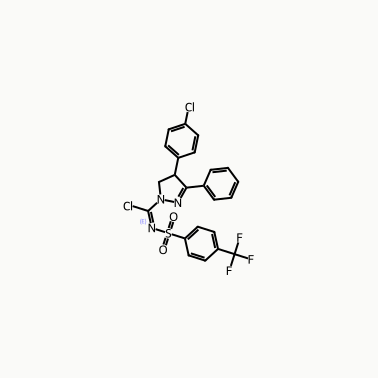 O=S(=O)(/N=C(/Cl)N1CC(c2ccc(Cl)cc2)C(c2ccccc2)=N1)c1ccc(C(F)(F)F)cc1